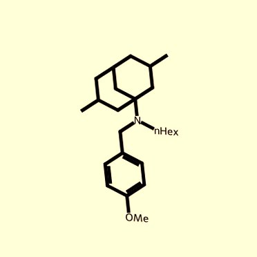 CCCCCCN(Cc1ccc(OC)cc1)C12CC(C)CC(CC(C)C1)C2